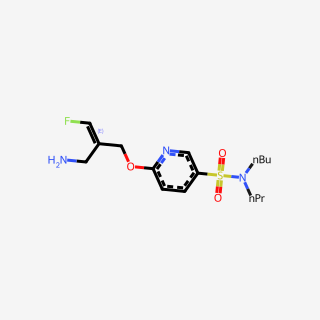 CCCCN(CCC)S(=O)(=O)c1ccc(OC/C(=C/F)CN)nc1